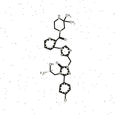 CC1(C)CN(C(=O)c2ncccc2-n2cnc(Cn3nc(-c4ccc(Cl)cc4)n(C[C@@H](O)C(F)(F)F)c3=O)n2)CCN1